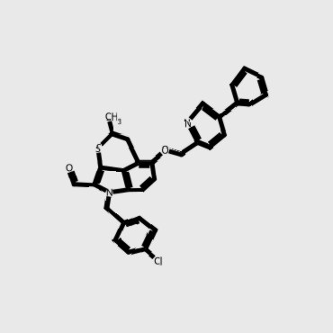 CC1Cc2c(OCc3ccc(-c4ccccc4)cn3)ccc3c2c(c(C=O)n3Cc2ccc(Cl)cc2)S1